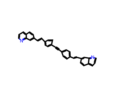 C(#Cc1ccc(/C=C/c2ccc3cccnc3c2)cc1)c1ccc(/C=C/c2ccc3cccnc3c2)cc1